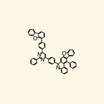 c1ccc(-c2nc(-c3ccc(-c4nc5ccccc5c5c(-c6ccccc6)c6c(cc45)oc4ccccc46)cc3)cc(-c3ccc(-c4cccc5c4oc4ccccc45)cc3)n2)cc1